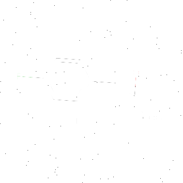 O=C([O-])C1OC1c1ccc(F)cc1.[K+]